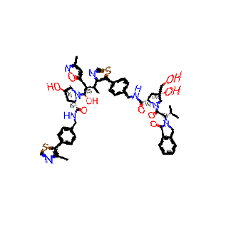 Cc1cc([C@@H](C(C)c2ncsc2-c2ccc(CNC(=O)[C@@H]3C[C@@](O)(CO)CN3C(=O)[C@H](C(C)C)N3Cc4ccccc4C3=O)cc2)C(O)N2C[C@H](O)C[C@H]2C(=O)NCc2ccc(-c3scnc3C)cc2)on1